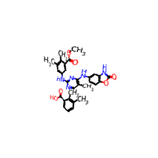 COC(=O)c1cc(Nc2ncc(C)c(Nc3ccc4oc(=O)[nH]c4c3)n2)cc(C)c1C.Cc1cccc(C(=O)O)c1C